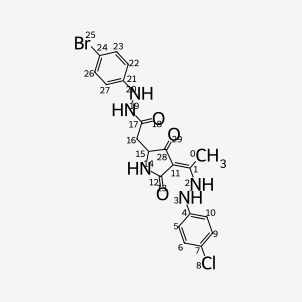 CC(NNc1ccc(Cl)cc1)=C1C(=O)NC(CC(=O)NNc2ccc(Br)cc2)C1=O